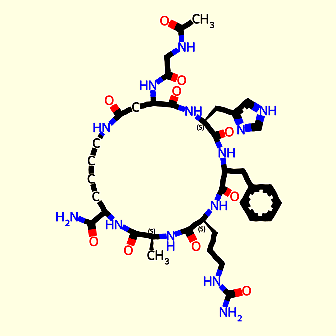 CC(=O)NCC(=O)NC1CC(=O)NCCCCC(C(N)=O)NC(=O)[C@H](C)NC(=O)[C@H](CCCNC(N)=O)NC(=O)C(Cc2ccccc2)NC(=O)[C@H](Cc2c[nH]cn2)NC1=O